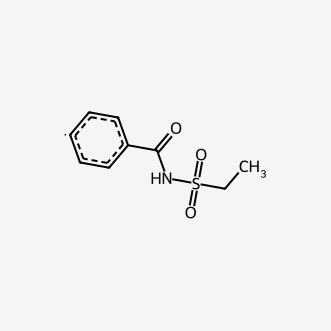 CCS(=O)(=O)NC(=O)c1cc[c]cc1